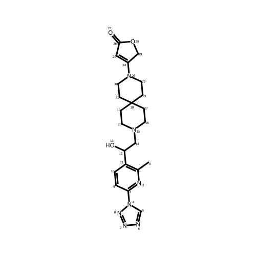 Cc1nc(-n2cnnn2)ccc1C(O)CN1CCC2(CC1)CCN(C1=CC(=O)OC1)CC2